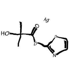 CC(C)(O)C(=O)Oc1ncco1.[Ag]